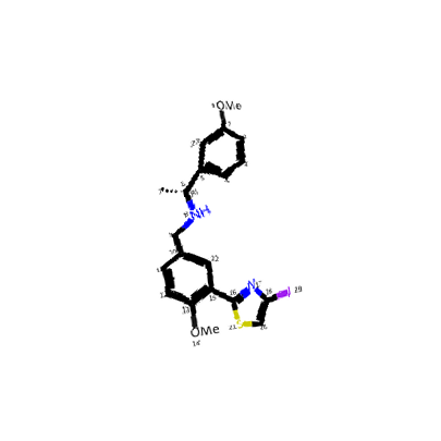 COc1cccc([C@@H](C)NCc2ccc(OC)c(-c3nc(I)cs3)c2)c1